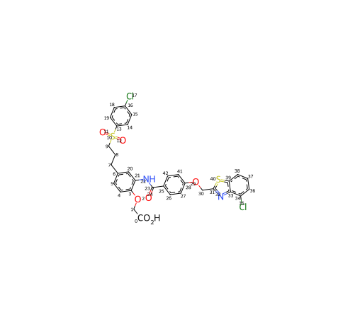 O=C(O)COc1ccc(CCCS(=O)(=O)c2ccc(Cl)cc2)cc1NC(=O)c1ccc(OCc2nc3c(Cl)cccc3s2)cc1